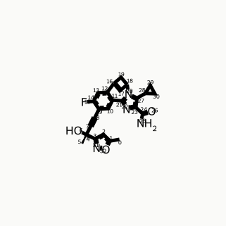 Cc1cc([C@](C)(O)C#Cc2cc3c(cc2F)C2=CC(C2)n2c-3nc(C(N)=O)c2C2CC2)no1